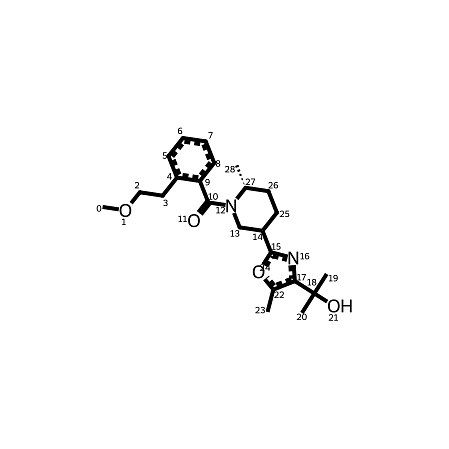 COCCc1ccccc1C(=O)N1CC(c2nc(C(C)(C)O)c(C)o2)CC[C@H]1C